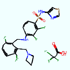 O=C(O)C(F)(F)F.O=S(=O)(Nc1cscn1)c1ccc(NCc2c(F)ccc(F)c2CN2CCC2)c(F)c1F